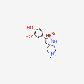 Br.C[N+]1(C)CCC2(CC1)CC(c1ccc(O)c(O)c1)CN2.[Br-]